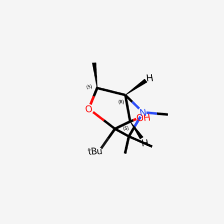 C[C@@H]1OC2(C(C)(C)C)[C@@H](O)[C@H]1N(C)C2(C)C